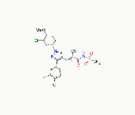 COc1ccc(-n2cc(/C=C(\C#N)C(=O)NS(C)(=O)=O)c(-c3ccc(Cl)c(F)c3)n2)cc1Cl